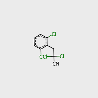 N#CC(Cl)(Cl)Cc1c(Cl)cccc1Cl